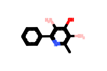 Bc1c(C)nc(-c2ccccc2)c(B)c1O